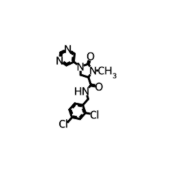 CN1C(=O)N(c2cncnc2)CC1C(=O)NCc1ccc(Cl)cc1Cl